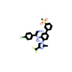 Cc1nc(C(F)F)cn1-c1ccc(-c2cccc(S(C)(=O)=O)c2)cc1N(N)/C(=C\N)c1ccc(Cl)cc1